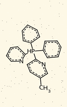 Cc1ccc([PH](c2ccccc2)(c2ccccc2)c2ccccn2)nc1